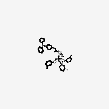 C/C(Cc1ccc(N(c2ccccc2)c2ccccc2)cc1)=N\N(C)CC(COc1cccc(C)c1)(COc1cccc(C)c1)CO[C@H]1CCC[C@@H](C)C1